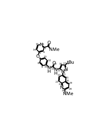 CNC(=O)c1cc(Oc2ccc(NC(=O)Nc3cc(C(C)(C)C)nn3-c3ccc4nc(NC)ccc4c3)cc2)ccn1